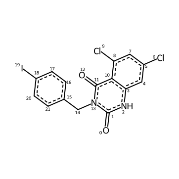 O=c1[nH]c2cc(Cl)cc(Cl)c2c(=O)n1Cc1ccc(I)cc1